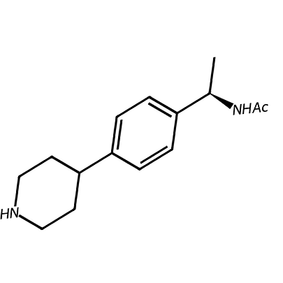 CC(=O)N[C@H](C)c1ccc(C2CCNCC2)cc1